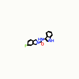 O=C(Nc1c[nH]c2ccccc12)N1Cc2ccc(F)cc2C1